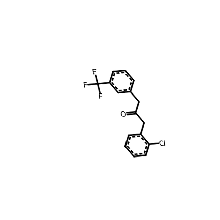 O=C(Cc1cccc(C(F)(F)F)c1)Cc1ccccc1Cl